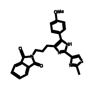 COc1ccc(-c2[nH]c(-c3csc(C)n3)nc2CCCN2C(=O)c3ccccc3C2=O)cc1